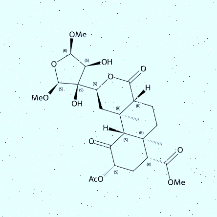 COC(=O)[C@@H]1C[C@H](OC(C)=O)C(=O)[C@H]2[C@@]1(C)CC[C@H]1C(=O)O[C@H]([C@]3(O)[C@@H](OC)O[C@@H](OC)[C@H]3O)C[C@]21C